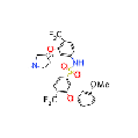 COc1cccc(Oc2cc(S(=O)(=O)Nc3ccc(C(F)(F)F)c(O[C@@H]4CCN(C)C4)c3)ccc2C(F)(F)F)c1